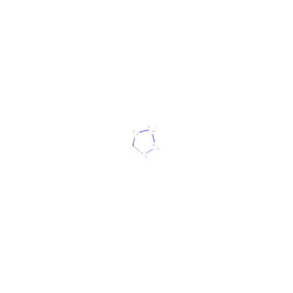 [CH]1NNNN1